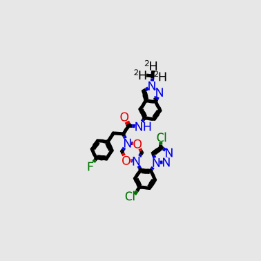 [2H]C([2H])([2H])n1cc2cc(NC(=O)C(Cc3ccc(F)cc3)N3CON(c4cc(Cl)ccc4-n4cc(Cl)nn4)CO3)ccc2n1